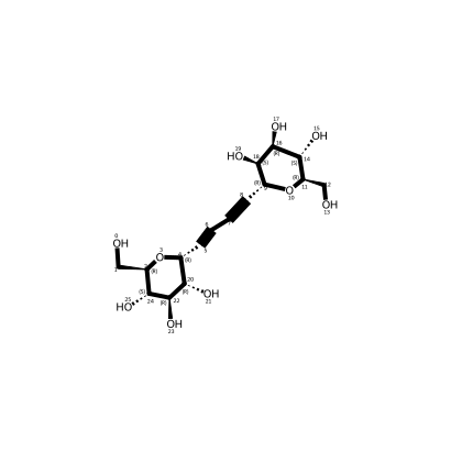 OC[C@H]1O[C@H](C#CC#C[C@H]2O[C@H](CO)[C@@H](O)[C@H](O)[C@@H]2O)[C@H](O)[C@@H](O)[C@@H]1O